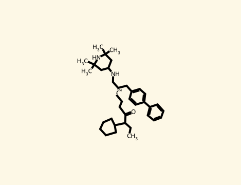 CCC(C(=O)CCC[C@H](CNC1CC(C)(C)NC(C)(C)C1)Cc1ccc(-c2ccccc2)cc1)C1CCCCC1